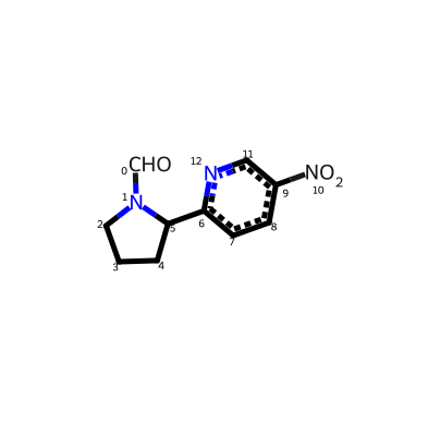 O=CN1CCCC1c1ccc([N+](=O)[O-])cn1